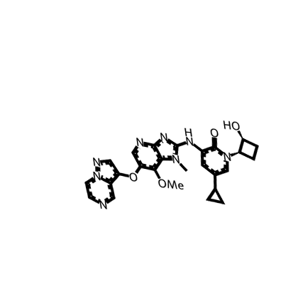 COc1c(Oc2cnn3ccncc23)cnc2nc(Nc3cc(C4CC4)cn([C@@H]4CC[C@@H]4O)c3=O)n(C)c12